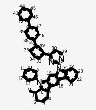 CC1CC=Cc2c1n(-c1ccccc1)c1cc3c(cc21)c1ccccc1n3-c1nccc(-c2cccc(-c3ccc(-c4ccccc4)cc3)c2)n1